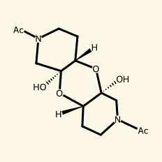 CC(=O)N1CC[C@@H]2O[C@@]3(O)CN(C(C)=O)CC[C@@H]3O[C@@]2(O)C1